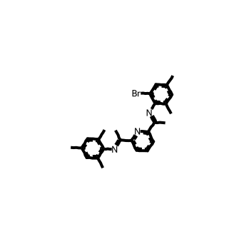 CC(=Nc1c(C)cc(C)cc1C)c1cccc(C(C)=Nc2c(C)cc(C)cc2Br)n1